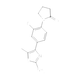 Cc1sc(N)nc1-c1ccc(N2CCCC2=O)c(F)c1